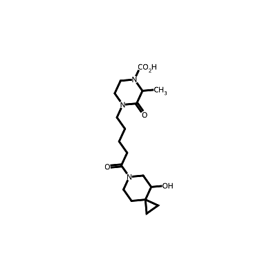 CC1C(=O)N(CCCCC(=O)N2CCC3(CC3)C(O)C2)CCN1C(=O)O